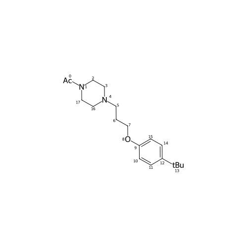 CC(=O)N1CCN(CCCOc2ccc(C(C)(C)C)cc2)CC1